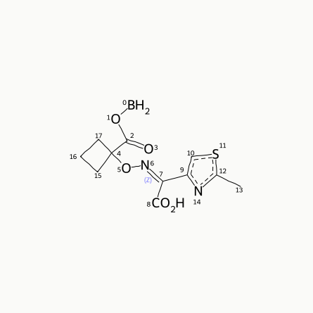 BOC(=O)C1(O/N=C(\C(=O)O)c2csc(C)n2)CCC1